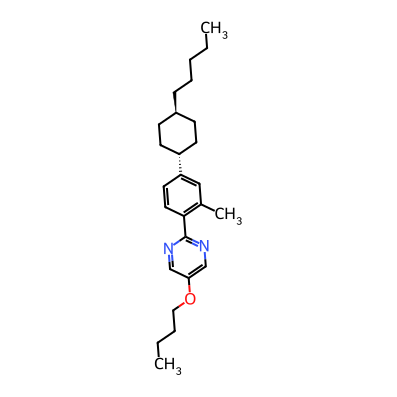 CCCCC[C@H]1CC[C@H](c2ccc(-c3ncc(OCCCC)cn3)c(C)c2)CC1